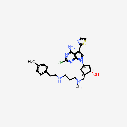 Cc1ccc(CCNCCCN(C)C[C@H]2C[C@@H](n3cc(-c4nccs4)c4c(N)nc(Cl)nc43)C[C@@H]2O)cc1